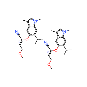 COC/C=C(/C#N)Oc1cc2c(C)cn(C)c2cc1C(C)C.COC/C=C(/C#N)Oc1cc2c(C)cn(C)c2cc1C(C)C